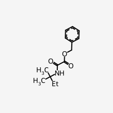 CCC(C)(C)NC(=O)C(=O)OCc1ccccc1